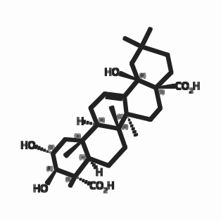 CC1(C)CC[C@]2(C(=O)O)CC[C@]3(C)C(=CC[C@@H]4[C@@]5(C)C[C@@H](O)[C@H](O)[C@@](C)(C(=O)O)[C@@H]5CC[C@]43C)[C@]2(O)C1